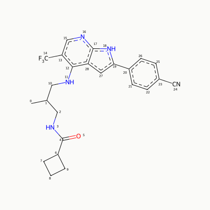 CC(CNC(=O)C1CCC1)CNc1c(C(F)(F)F)cnc2[nH]c(-c3ccc(C#N)cc3)cc12